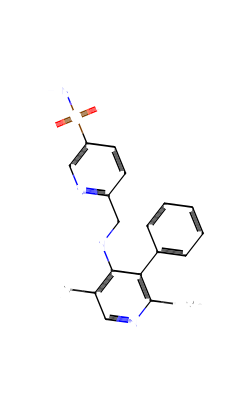 COc1ncc([N+](=O)[O-])c(NCc2ccc(S(N)(=O)=O)cn2)c1-c1ccccc1